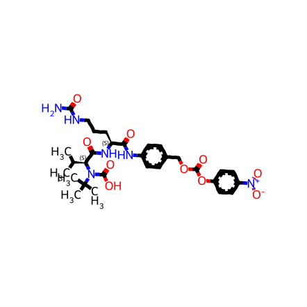 CC(C)[C@@H](C(=O)N[C@@H](CCCNC(N)=O)C(=O)Nc1ccc(COC(=O)Oc2ccc([N+](=O)[O-])cc2)cc1)N(C(=O)O)C(C)(C)C